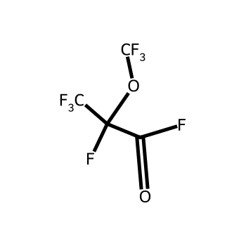 O=C(F)C(F)(OC(F)(F)F)C(F)(F)F